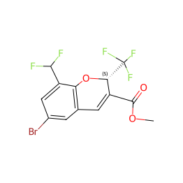 COC(=O)C1=Cc2cc(Br)cc(C(F)F)c2O[C@@H]1C(F)(F)F